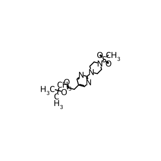 CC(C)(C)OC(=O)Cc1cnc(N2CCN(S(C)(=O)=O)CC2)nc1